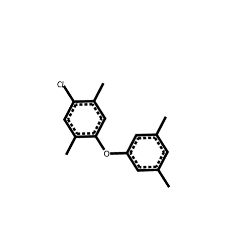 Cc1cc(C)cc(Oc2cc(C)c(Cl)cc2C)c1